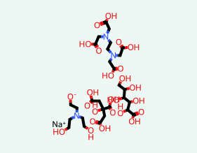 O=C(O)C(O)C(O)C(O)C(O)CO.O=C(O)CC(O)(CC(=O)O)C(=O)O.O=C(O)CN(CCN(CC(=O)O)CC(=O)O)CC(=O)O.[Na+].[O-]CCN(CCO)CCO